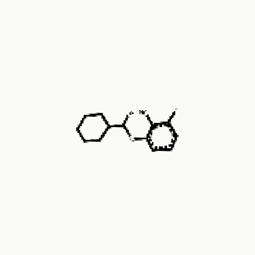 CCCC(Oc1cccc(F)c1C#N)C1CCCCC1